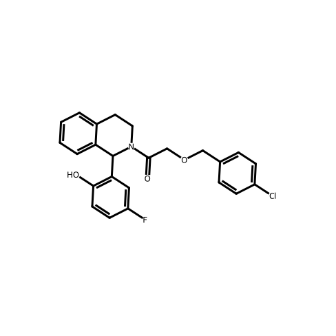 O=C(COCc1ccc(Cl)cc1)N1CCc2ccccc2C1c1cc(F)ccc1O